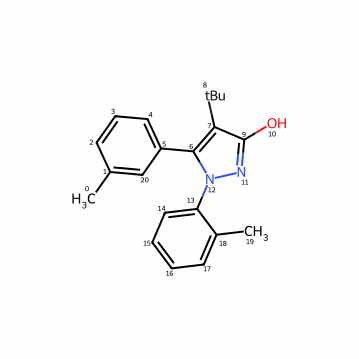 Cc1cccc(-c2c(C(C)(C)C)c(O)nn2-c2ccccc2C)c1